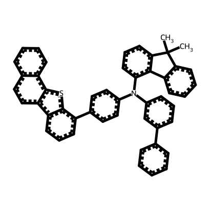 CC1(C)c2ccccc2-c2c(N(c3ccc(-c4cccc5c4sc4c6ccccc6ccc54)cc3)c3cccc(-c4ccccc4)c3)cccc21